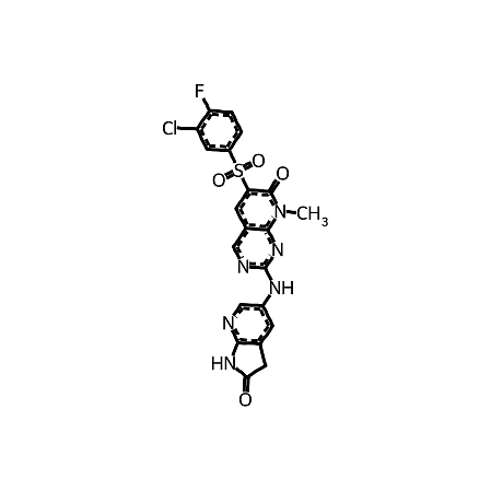 Cn1c(=O)c(S(=O)(=O)c2ccc(F)c(Cl)c2)cc2cnc(Nc3cnc4c(c3)CC(=O)N4)nc21